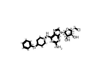 Nc1nc(NN2CCC(Sc3ccccc3)CC2)c2ncn([C@@H]3O[C@H](CCl)[C@@H](O)[C@H]3O)c2n1